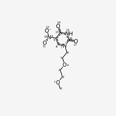 COCCOCCn1cc([N+](=O)[O-])c(=O)[nH]c1=O